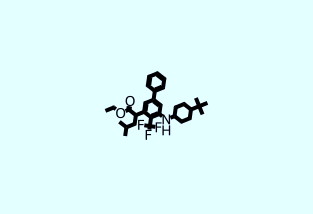 CCOC(=O)C(CC(C)C)c1cc(-c2ccccc2)cc(NC2CCC(C(C)(C)C)CC2)c1C(F)(F)F